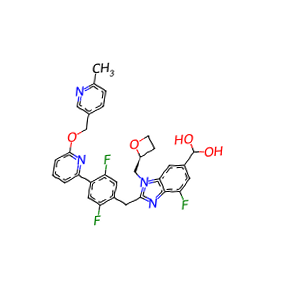 Cc1ccc(COc2cccc(-c3cc(F)c(Cc4nc5c(F)cc(C(O)O)cc5n4C[C@@H]4CCO4)cc3F)n2)cn1